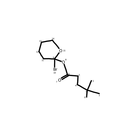 CC(C)(C)CCC(=O)OC1(Br)CCCCO1